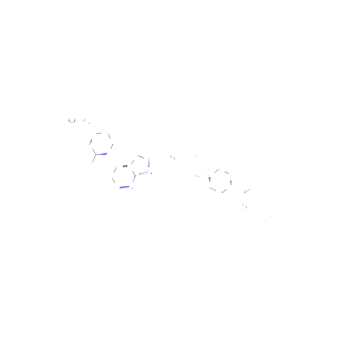 CNc1ccn(-c2ccnc3c2cc(CN2CC[C@H](c4ccc(C(=O)N(C)C)cc4)C(F)(F)C2)n3C)c(=O)c1